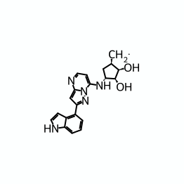 [CH2][C@@H]1C[C@@H](Nc2ccnc3cc(-c4cccc5[nH]ccc45)nn23)[C@H](O)[C@@H]1O